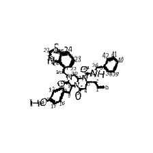 C=CCC1CC(=O)N2C(Cc3ccc(O)cc3)C(=O)N(Cc3cccc4scnc34)CC2N1C(=O)NCc1ccccc1